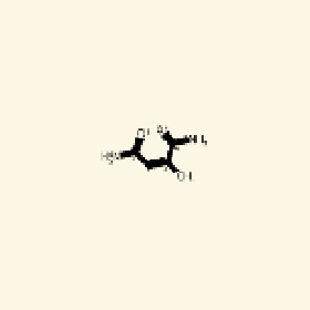 C/C(=C/C(N)=O)C(N)=O